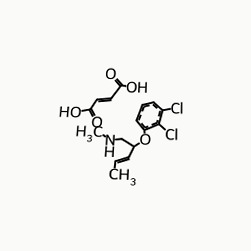 C/C=C/C(CNC)Oc1cccc(Cl)c1Cl.O=C(O)/C=C/C(=O)O